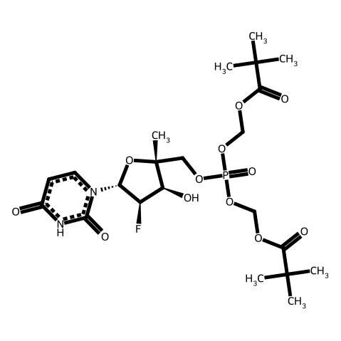 CC(C)(C)C(=O)OCOP(=O)(OCOC(=O)C(C)(C)C)OC[C@@]1(C)O[C@@H](n2ccc(=O)[nH]c2=O)[C@H](F)[C@@H]1O